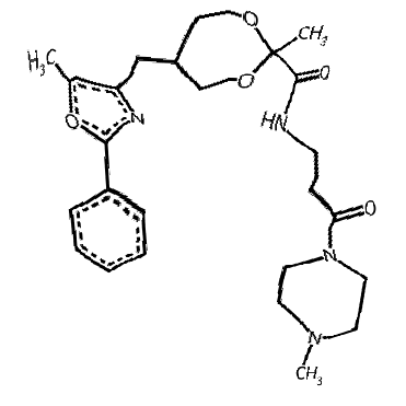 Cc1oc(-c2ccccc2)nc1CC1COC(C)(C(=O)NCCC(=O)N2CCN(C)CC2)OC1